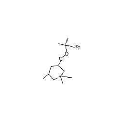 CC1CC(OOC(C)(C)C(C)C)CC(C)(C)C1